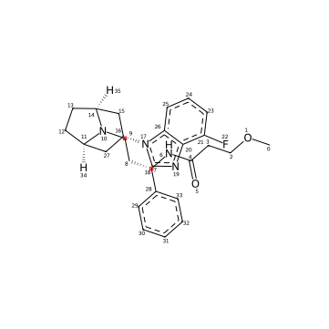 COCCC(=O)N[C@@H](CCN1[C@@H]2CC[C@H]1C[C@H](n1cnc3c(F)cccc31)C2)c1ccccc1